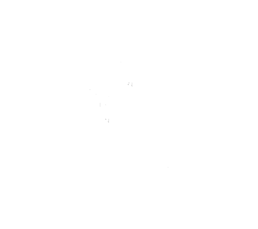 Cc1cnc(C[C@](O)(C(=O)O)[C@@H](N)CC(C)C)cc1C1CCC2(CC1)CC2